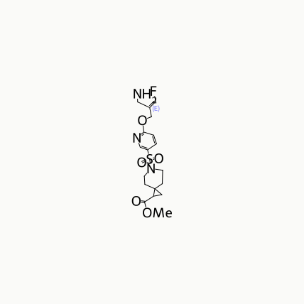 COC(=O)C1CC12CCN(S(=O)(=O)c1ccc(OC/C(=C/F)CN)nc1)CC2